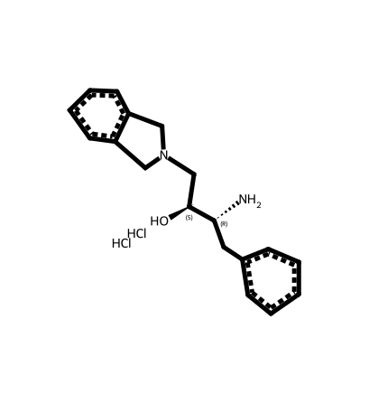 Cl.Cl.N[C@H](Cc1ccccc1)[C@@H](O)CN1Cc2ccccc2C1